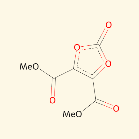 COC(=O)c1oc(=O)oc1C(=O)OC